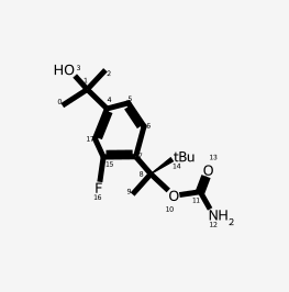 CC(C)(O)c1ccc([C@@](C)(OC(N)=O)C(C)(C)C)c(F)c1